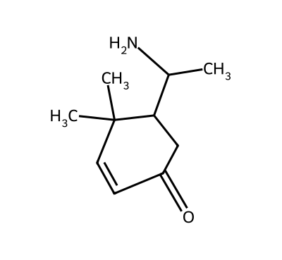 CC(N)C1CC(=O)C=CC1(C)C